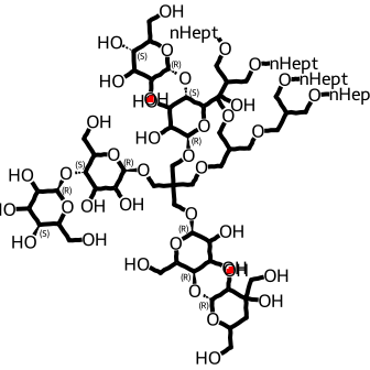 CCCCCCCOCC(COCCCCCCC)COCC(COCC(COCCCCCCC)COCCCCCCC)COCC(CO[C@@H]1OC(CO)[C@@H](O[C@H]2OC(CO)[C@@H](O)C(O)C2O)C(O)C1O)(CO[C@@H]1OC(CO)[C@@H](O[C@H]2OC(CO)[C@@H](O)C(O)C2O)C(O)C1O)CO[C@@H]1OC(CO)[C@H](O[C@H]2OC(CO)CC(O)(CO)C2O)C(O)C1O